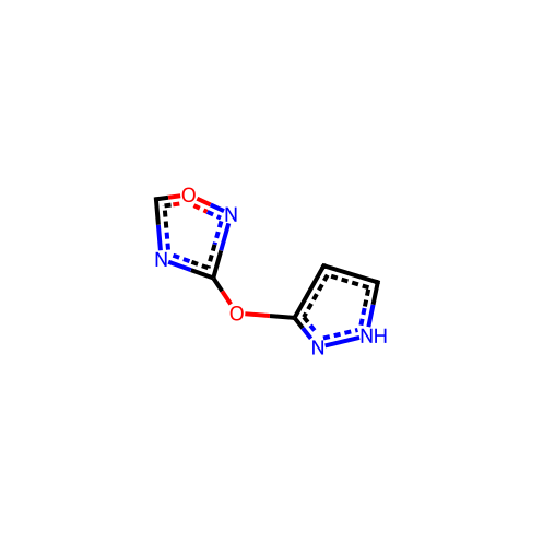 c1cc(Oc2ncon2)n[nH]1